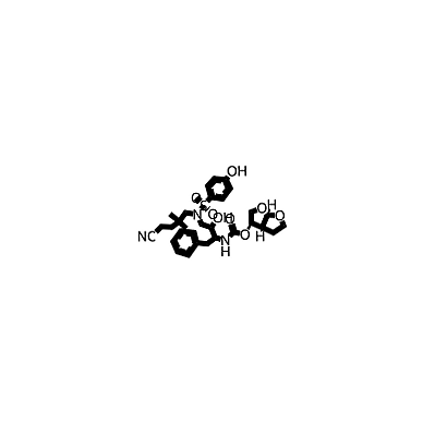 CC(C)(CCC#N)CN(CC(O)C(Cc1ccccc1)NC(=O)O[C@H]1CO[C@H]2OCC[C@H]21)S(=O)(=O)c1ccc(O)cc1